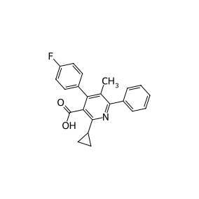 Cc1c(-c2ccccc2)nc(C2CC2)c(C(=O)O)c1-c1ccc(F)cc1